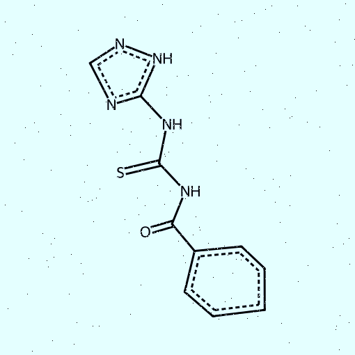 O=C(NC(=S)Nc1ncn[nH]1)c1ccccc1